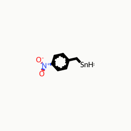 O=[N+]([O-])c1ccc([CH2][SnH])cc1